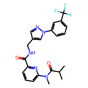 CC(C)C(=O)N(C)c1cccc(C(=O)NCc2cnn(-c3cccc(C(F)(F)F)c3)c2)n1